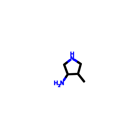 CC1CNCC1N